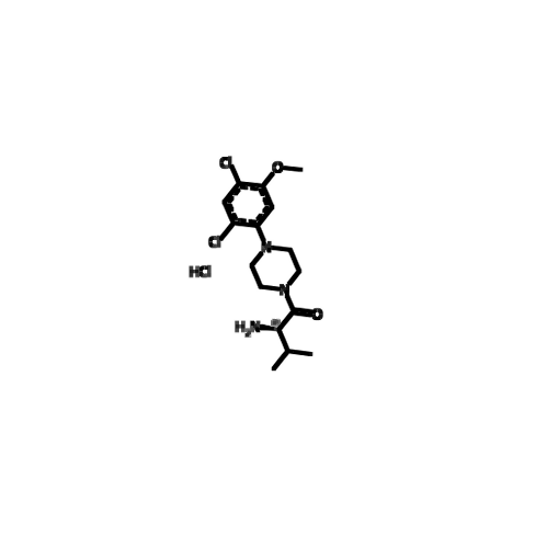 COc1cc(N2CCN(C(=O)[C@H](N)C(C)C)CC2)c(Cl)cc1Cl.Cl